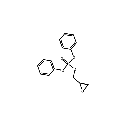 O=P(OCC1CO1)(Oc1ccccc1)Oc1ccccc1